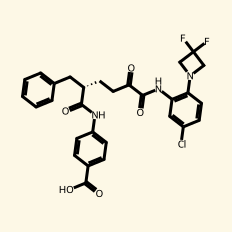 O=C(CC[C@@H](Cc1ccccc1)C(=O)Nc1ccc(C(=O)O)cc1)C(=O)Nc1cc(Cl)ccc1N1CC(F)(F)C1